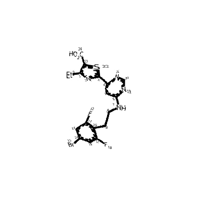 CCc1nc(-c2cc(NCCc3c(F)cc(Br)cc3F)ncn2)sc1C(=O)O